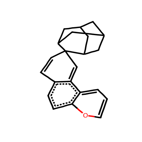 C1=COc2ccc3c(c2=C1)=CC1(C=C3)C2CC3CC(C2)CC1C3